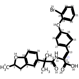 CC1Cc2cc(C(C)(C)C(=O)N/C(=C\c3ccc(Oc4ccccc4Br)cc3)C(=O)O)ccc2O1